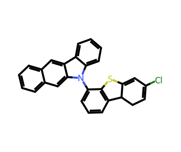 ClC1=CCC2C(=C1)Sc1c2cccc1-n1c2ccccc2c2cc3ccccc3cc21